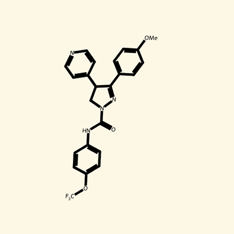 COc1ccc(C2=NN(C(=O)Nc3ccc(OC(F)(F)F)cc3)CC2c2ccncc2)cc1